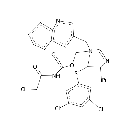 CC(C)C1=C(Sc2cc(Cl)cc(Cl)c2)[N+](COC(=O)NC(=O)CCl)(Cc2cnc3ccccc3c2)C=N1